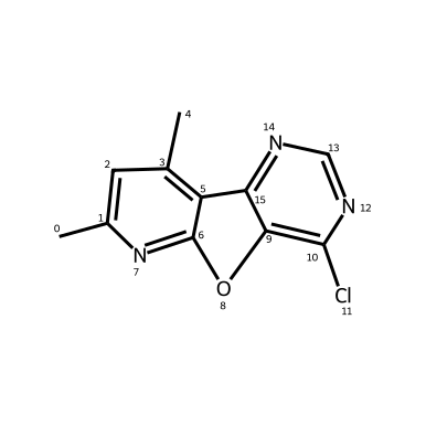 Cc1cc(C)c2c(n1)oc1c(Cl)ncnc12